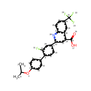 CC(C)Oc1ccc(-c2ccc(-c3cc(C(=O)O)c4cc(C(F)(F)F)ccc4n3)cc2F)cc1